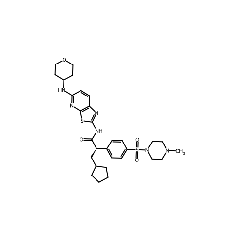 CN1CCN(S(=O)(=O)c2ccc([C@@H](CC3CCCC3)C(=O)Nc3nc4ccc(NC5CCOCC5)nc4s3)cc2)CC1